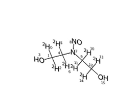 [2H]C([2H])(O)C([2H])([2H])N(N=O)C([2H])([2H])C([2H])([2H])O